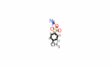 Cc1ccc(S(=O)(=O)OC#N)cc1